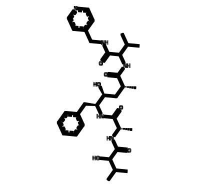 CC(C)C(O)C(=O)N[C@@H](C)C(=O)N[C@@H](Cc1ccccc1)[C@@H](O)C[C@@H](C)C(=O)NC(C(=O)NCc1ccncc1)C(C)C